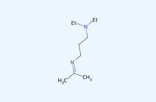 CCN(CC)CCCN=C(C)C